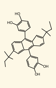 CCC(C)(C)c1ccc2c(-c3ccc(O)c(O)c3)c3cc(C(C)(C)CC)ccc3c(-c3ccc(O)c(O)c3)c2c1